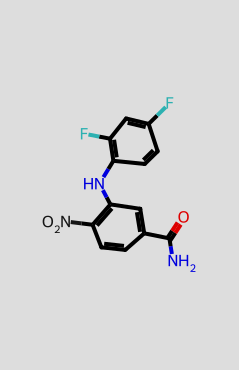 NC(=O)c1ccc([N+](=O)[O-])c(Nc2ccc(F)cc2F)c1